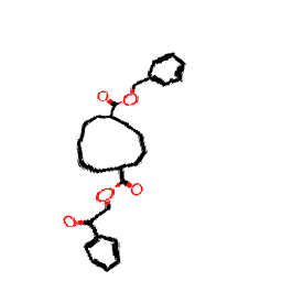 O=C(COC(=O)C1CCCCCC(C(=O)OCc2ccccc2)CCCC1)c1ccccc1